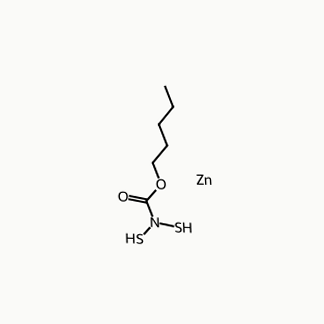 CCCCCOC(=O)N(S)S.[Zn]